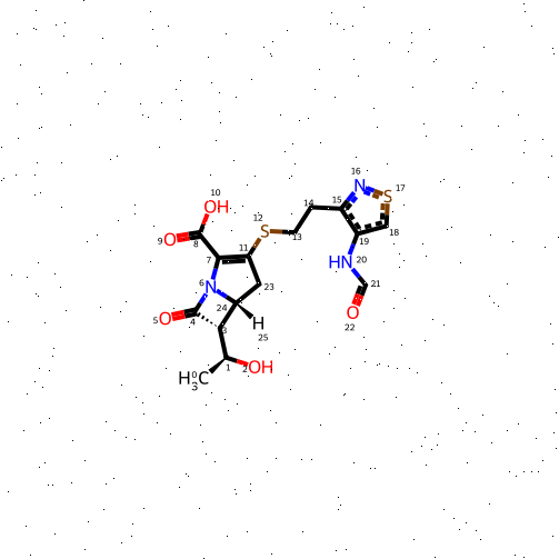 C[C@H](O)[C@@H]1C(=O)N2C(C(=O)O)=C(SCCc3nscc3NC=O)C[C@H]12